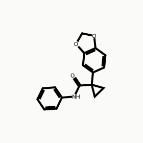 O=C(Nc1ccccc1)C1(c2ccc3c(c2)OCO3)CC1